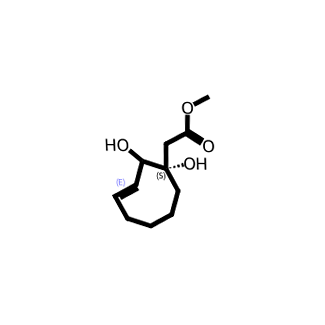 COC(=O)C[C@@]1(O)CCCC/C=C/C1O